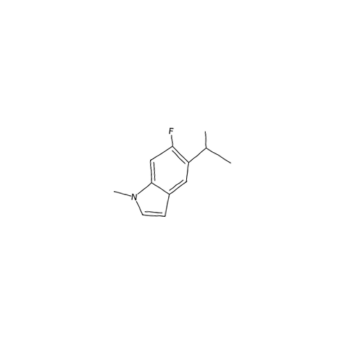 CC(C)c1cc2ccn(C)c2cc1F